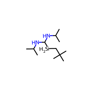 CC(C)NC(NC(C)C)[SiH2]CC(C)(C)C